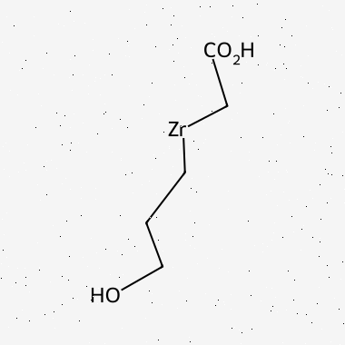 O=C(O)[CH2][Zr][CH2]CCO